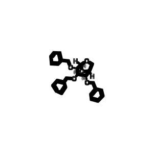 c1ccc(CO[C@H]2[C@H](OCc3ccccc3)[C@@H]3OC[C@@H](O3)[C@@H]2OCc2ccccc2)cc1